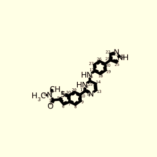 CN(C)C(=O)c1cc2ccc(C3=NC=CC(Nc4ccc(-c5cn[nH]c5)cc4)N3)cc2s1